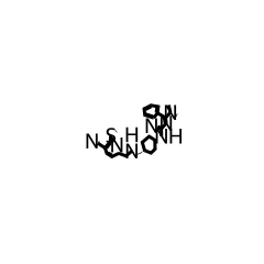 CSc1nc(CNC[C@H]2CC[C@@H](Nc3nc(N(C)C)c4ccccc4n3)CC2)ccc1C#N